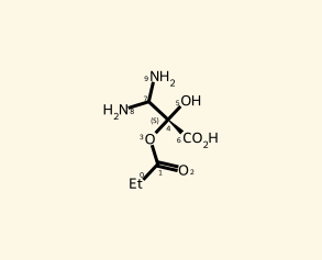 CCC(=O)O[C@](O)(C(=O)O)C(N)N